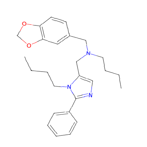 CCCCN(Cc1ccc2c(c1)OCO2)Cc1cnc(-c2ccccc2)n1CCCC